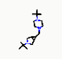 CC(C)(C)N1CCN(CC2C3CN(C(C)(C)C)CC23)CC1